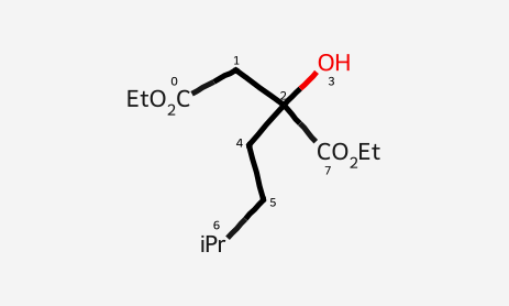 CCOC(=O)CC(O)(CCC(C)C)C(=O)OCC